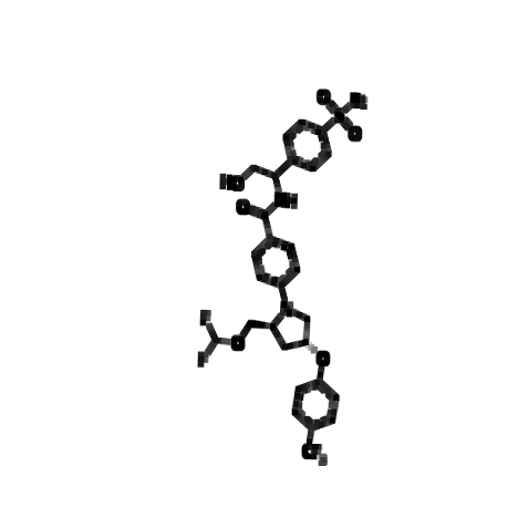 CCS(=O)(=O)c1ccc(C(CO)NC(=O)c2ccc(N3C[C@H](Oc4ccc(C(F)(F)F)cc4)C[C@H]3COC(F)F)cc2)cc1